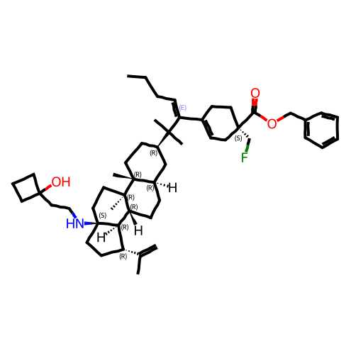 C=C(C)[C@@H]1CC[C@]2(NCCC3(O)CCC3)CC[C@]3(C)[C@H](CC[C@@H]4C[C@H](C(C)(C)/C(=C\CCC)C5=CC[C@](CF)(C(=O)OCc6ccccc6)CC5)CC[C@]43C)[C@@H]12